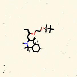 C=C1/C(=C\C(=C/C)OCCO[Si](C)(C)C(C)(C)C)N(C)C(C)(C)[C@@H]2CC[C@@H](C)C[C@@H]12